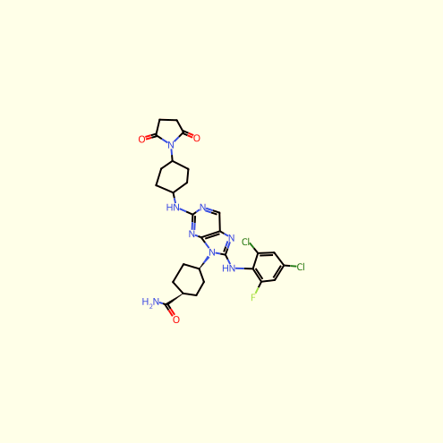 NC(=O)[C@H]1CC[C@@H](n2c(Nc3c(F)cc(Cl)cc3Cl)nc3cnc(NC4CCC(N5C(=O)CCC5=O)CC4)nc32)CC1